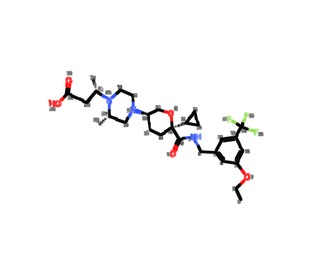 CCOc1cc(CNC(=O)[C@@]2(C3CC3)CC[C@@H](N3CCN([C@@H](C)CC(=O)O)[C@@H](C)C3)CO2)cc(C(F)(F)F)c1